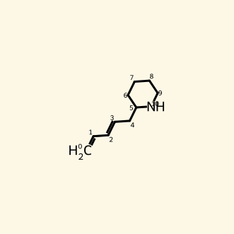 C=CC=CCC1CCCCN1